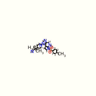 Cc1ccc(S(=O)(=O)n2ccc3c4c(cnc32)ncn4N2CCC(C(C)(C)C#N)CC2)cc1